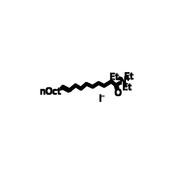 CCCCCCCCC=CCCCCCCCC(=O)[N+](CC)(CC)CC.[I-]